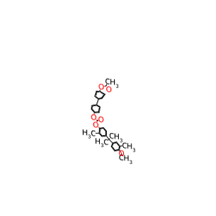 COc1ccc(C(C)(C)c2ccc(OC(=O)Oc3ccc(-c4ccc(OC(C)=O)cc4)cc3)c(C)c2)cc1C